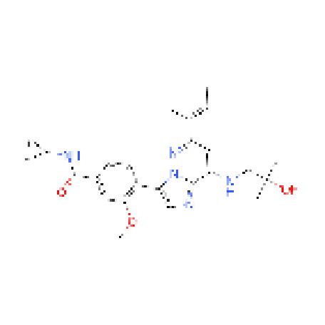 C/C=C(\C)c1cc(NCC(C)(C)O)c2ncc(-c3ccc(C(=O)NC4CC4)cc3OC)n2n1